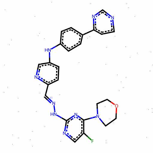 Fc1cnc(N/N=C/c2ccc(Nc3ccc(-c4ccncn4)cc3)cn2)nc1N1CCOCC1